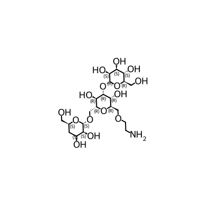 NCCOC[C@H]1O[C@H](CO[C@H]2O[C@H](CO)C[C@H](O)[C@@H]2O)[C@@H](O)[C@H](O[C@H]2O[C@H](CO)[C@@H](O)[C@H](O)[C@@H]2O)[C@@H]1O